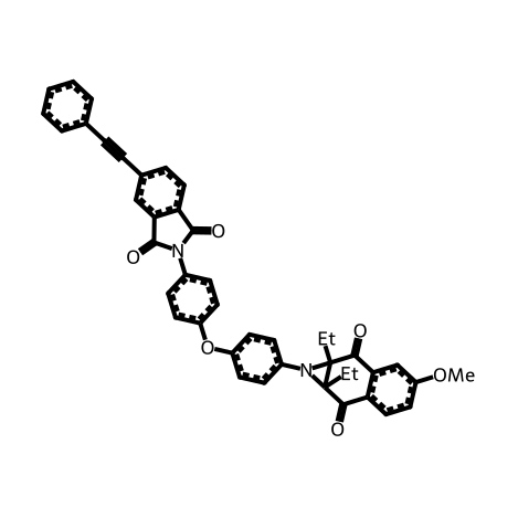 CCC12C(=O)c3ccc(OC)cc3C(=O)C1(CC)N2c1ccc(Oc2ccc(N3C(=O)c4ccc(C#Cc5ccccc5)cc4C3=O)cc2)cc1